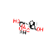 CCC(C)(C)C(=O)OC[C@H]1C[C@@H](C(C)O)C[C@@H]2CCC[C@@H](CC[C@@H]3C[C@@H](O)CC(=O)O3)[C@@H]21